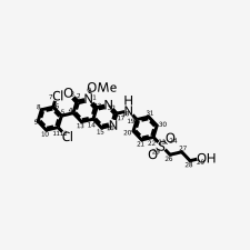 COn1c(=O)c(-c2c(Cl)cccc2Cl)cc2cnc(Nc3ccc(S(=O)(=O)CCCO)cc3)nc21